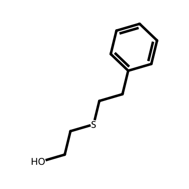 OCCSCCc1ccccc1